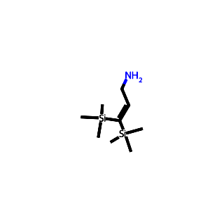 C[Si](C)(C)C(=CCN)[Si](C)(C)C